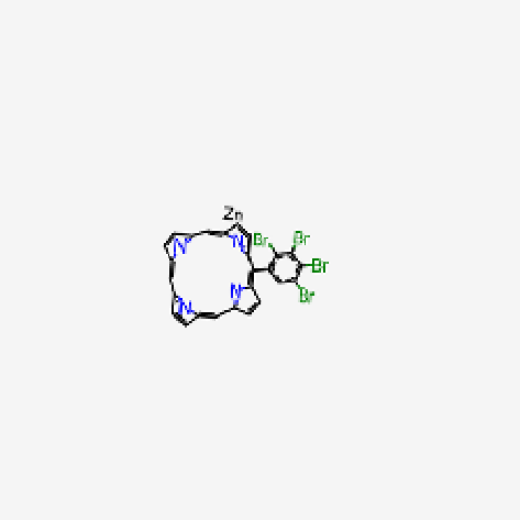 Brc1cc(C2=C3C=CC(=N3)C=C3C=CC(=N3)C=C3C=CC(=N3)C=C3C=CC2=N3)c(Br)c(Br)c1Br.[Zn]